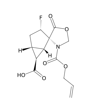 C=CCOC(=O)N1COC(=O)[C@]12[C@H]1[C@@H](C[C@@H]2F)[C@@H]1C(=O)O